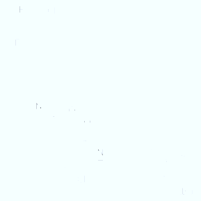 Cc1cc(C(F)(C(F)F)C(F)(F)F)ccc1NC(=O)c1cccc(Cl)c1C(=O)NCCCC(=O)OC(C)(C)C